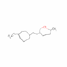 CC1CCCC(CCC2CCC(C)OC2)CC1